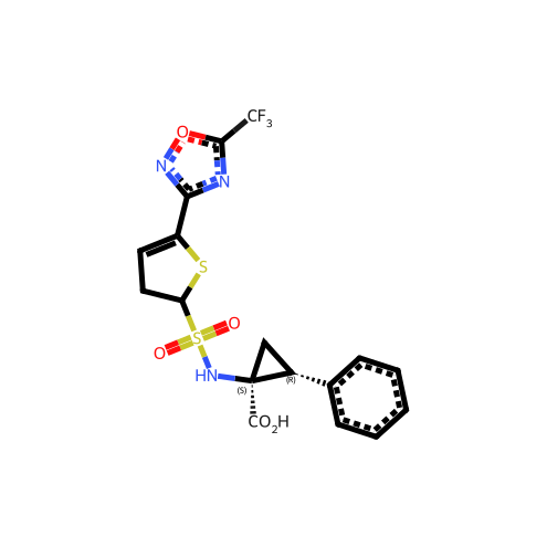 O=C(O)[C@]1(NS(=O)(=O)C2CC=C(c3noc(C(F)(F)F)n3)S2)C[C@@H]1c1ccccc1